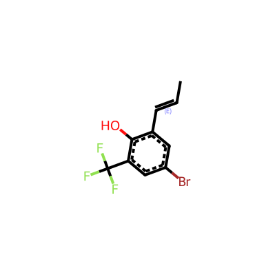 C/C=C/c1cc(Br)cc(C(F)(F)F)c1O